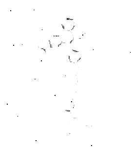 CN(CCO)C(=O)CCCNCCOc1ccc(C(=C(CC(F)(F)F)c2ccccc2)c2ccc3[nH]nc(F)c3c2)cc1